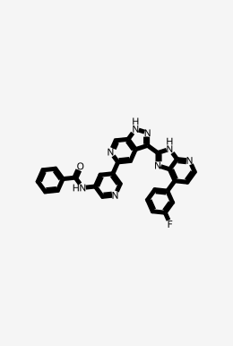 O=C(Nc1cncc(-c2cc3c(-c4nc5c(-c6cccc(F)c6)ccnc5[nH]4)n[nH]c3cn2)c1)c1ccccc1